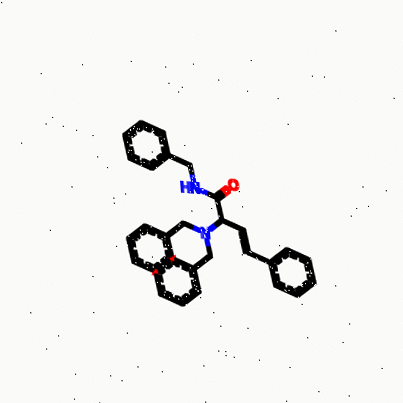 O=C(NCc1ccccc1)C(/C=C/c1ccccc1)N(Cc1ccccc1)Cc1ccccc1